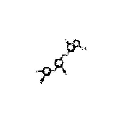 CN1CCn2c1cc(OCc1ccc(Oc3ccc(Cl)c(C#N)c3)c(C#N)c1)nc2=O